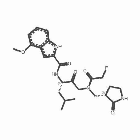 COc1cccc2[nH]c(C(=O)N[C@@H](CC(C)C)C(=O)CN(C[C@@H]3CCNC3=O)C(=O)CF)cc12